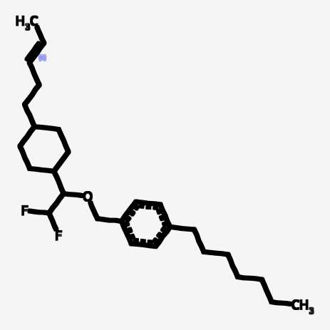 C/C=C/CCC1CCC(C(OCc2ccc(CCCCCCC)cc2)C(F)F)CC1